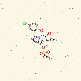 CC(C)(COS(C)(=O)=O)C(=O)C(Oc1ccc(Cl)cc1)n1ccnc1